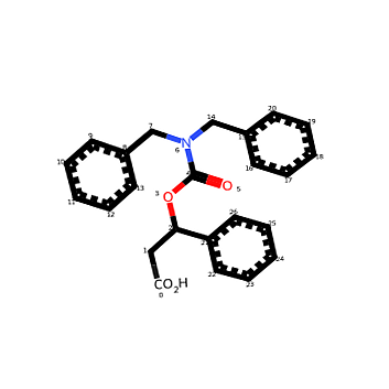 O=C(O)CC(OC(=O)N(Cc1ccccc1)Cc1ccccc1)c1ccccc1